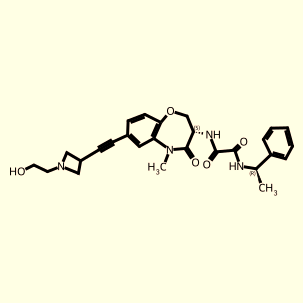 C[C@@H](NC(=O)C(=O)N[C@H]1COc2ccc(C#CC3CN(CCO)C3)cc2N(C)C1=O)c1ccccc1